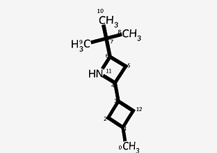 CC1CC(C2CC(C(C)(C)C)N2)C1